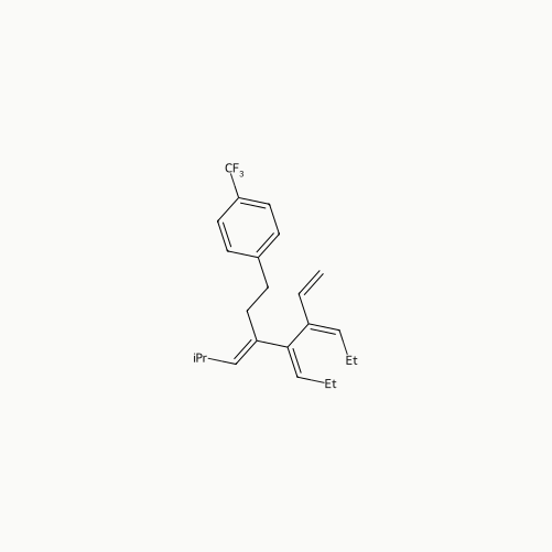 C=CC(=C/CC)/C(=C\CC)C(=C/C(C)C)/CCc1ccc(C(F)(F)F)cc1